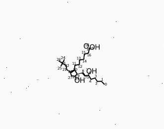 CCCCC[C@H](O)/C=C/[C@@H]1C(CCCCCCC(=O)O)=C(CCC(C)(C)C)C[C@H]1O